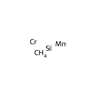 C.[Cr].[Mn].[Si]